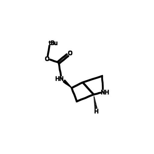 CC(C)(C)OC(=O)N[C@@H]1C[C@@H]2NCC21